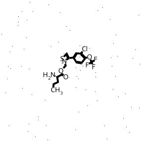 CCC[C@H](N)C(=O)OCn1scc1-c1ccc(OC(F)(F)F)c(Cl)c1